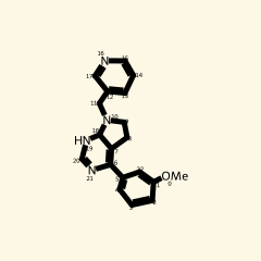 COc1cccc(C2=C3CCN(Cc4cccnc4)C3NC=N2)c1